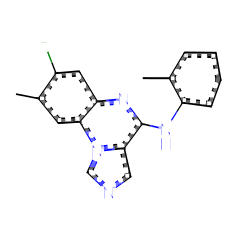 Cc1cc2c(cc1F)nc(Nc1ccccc1C)c1cncn12